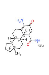 CC(C)(C)NC(=O)C1CC(=O)C(N)=C2CC[C@@H]3[C@@H](CC[C@]4(C)CCC[C@@H]34)[C@]21C